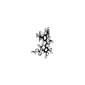 CCOC(=O)N1c2cc(OC)c(OC)cc2[C@@H]([C@H](OC(C)=O)c2cc(C(F)(F)F)cc(C(F)(F)F)c2)C[C@H]1C